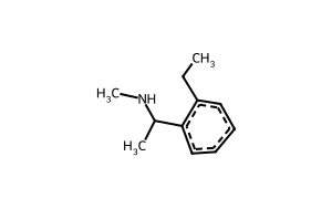 CCc1ccccc1C(C)NC